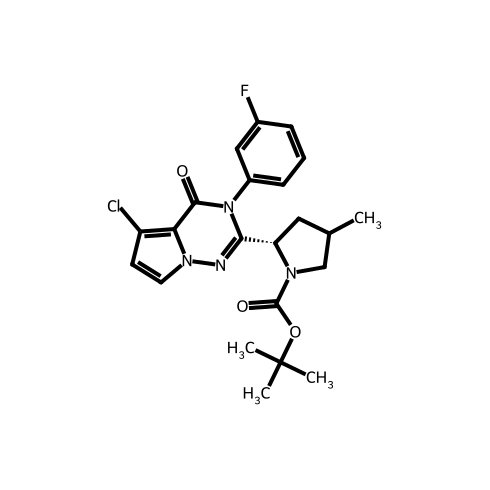 CC1C[C@@H](c2nn3ccc(Cl)c3c(=O)n2-c2cccc(F)c2)N(C(=O)OC(C)(C)C)C1